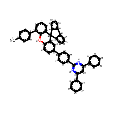 N#Cc1ccc(-c2cccc3c2Oc2ccc(-c4ccc(-c5nc(-c6ccccc6)cc(-c6ccccc6)n5)cc4)cc2C32c3ccccc3-c3ccccc32)cc1